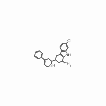 CC1CC(C2CC(c3ccccc3)=CCN2)Cc2c1[nH]c1cc(Cl)ccc21